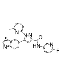 Cc1cccc(-n2nc(C(=O)Nc3ccc(F)nc3)cc2-c2ccc3ncsc3c2)n1